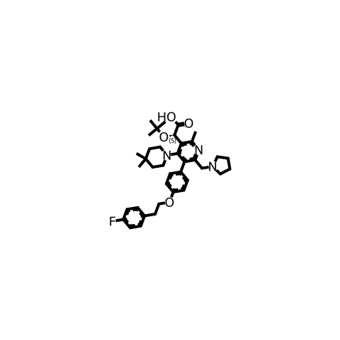 Cc1nc(CN2CCCC2)c(-c2ccc(OCCc3ccc(F)cc3)cc2)c(N2CCC(C)(C)CC2)c1[C@H](OC(C)(C)C)C(=O)O